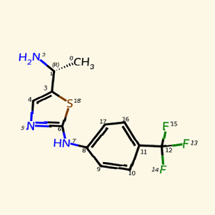 C[C@@H](N)c1cnc(Nc2ccc(C(F)(F)F)cc2)s1